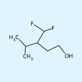 CC(C)C(CCO)C(F)F